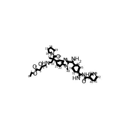 CCOC(=O)CC(=O)CNCC(C)(C(=O)N1CCCC1)c1ccc2c(c1)nc(C(N)c1ccc(C(=N)NC(=O)c3cccnc3)cc1)n2C